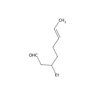 CC=CCCC(CC)CC=O